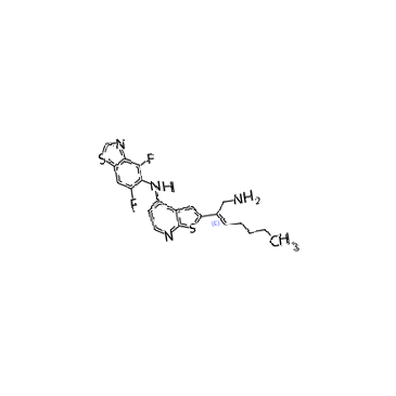 CCCC/C=C(\CN)c1cc2c(Nc3c(F)cc4scnc4c3F)ccnc2s1